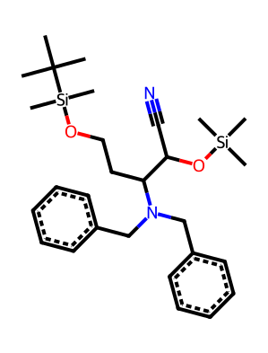 CC(C)(C)[Si](C)(C)OCCC(C(C#N)O[Si](C)(C)C)N(Cc1ccccc1)Cc1ccccc1